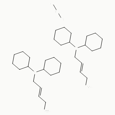 COCC=CCP(C1CCCCC1)C1CCCCC1.COCC=CCP(C1CCCCC1)C1CCCCC1.[Cl][Pd][Cl]